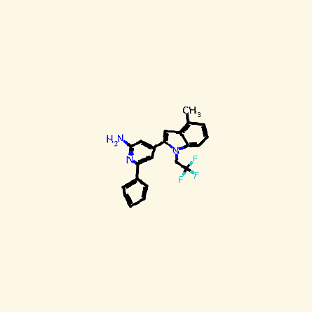 Cc1cccc2c1cc(-c1cc(N)nc(-c3ccccc3)c1)n2CC(F)(F)F